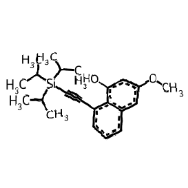 COc1cc(O)c2c(C#C[Si](C(C)C)(C(C)C)C(C)C)cccc2c1